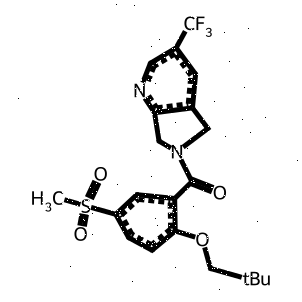 CC(C)(C)COc1ccc(S(C)(=O)=O)cc1C(=O)N1Cc2cc(C(F)(F)F)cnc2C1